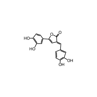 O=C1OC(c2ccc(O)c(O)c2)=CC1=Cc1ccc(O)c(O)c1